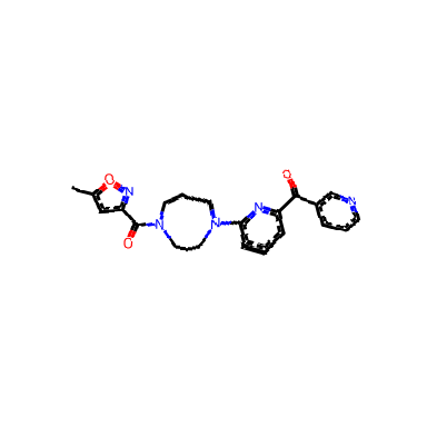 Cc1cc(C(=O)N2CCCN(c3cccc(C(=O)c4cccnc4)n3)CC2)no1